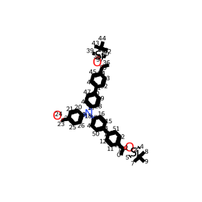 CC(O[Si](C)(C)C(C)(C)C)c1ccc(-c2ccc(N(c3ccc(C=O)cc3)c3ccc(-c4ccc(C(C)O[Si](C)(C)C(C)(C)C)cc4)cc3)cc2)cc1